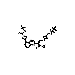 CC(C)(C)OC(=O)N1CC(c2cccc3nc(/C(=C/NC4CC(CO[Si](C)(C)C(C)(C)C)C4)C(=N)C4CC4)cnc23)C1